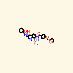 Cc1c(NC(=O)c2ccc(OC[C@@H]3CCCO3)cc2)ccc2cc(CNCC3(O)CCCCC3)cnc12